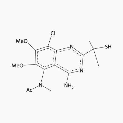 COc1c(OC)c(N(C)C(C)=O)c2c(N)nc(C(C)(C)S)nc2c1Cl